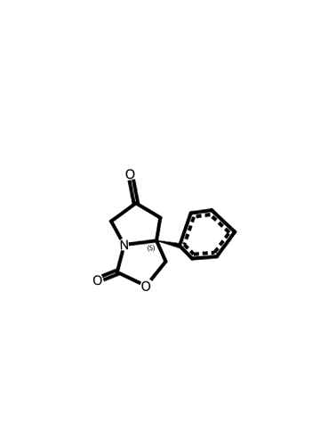 O=C1CN2C(=O)OC[C@@]2(c2ccccc2)C1